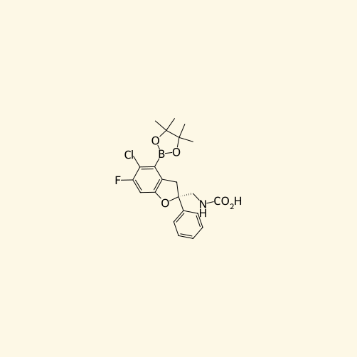 CC1(C)OB(c2c(Cl)c(F)cc3c2C[C@@](CNC(=O)O)(c2ccccc2)O3)OC1(C)C